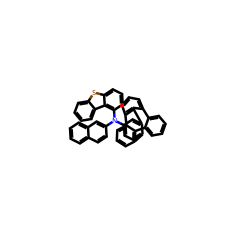 c1ccc2c(c1)-c1cccc3c1-c1cc(N(c4ccc5ccccc5c4)c4cccc5sc6ccccc6c45)ccc1-c1cccc-3c1-2